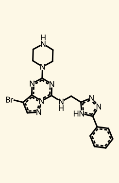 Brc1cnn2c(NCc3nnc(-c4ccccc4)[nH]3)nc(N3CCNCC3)nc12